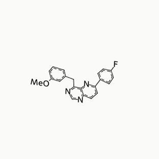 COc1cccc(Cc2ncnc3ccc(-c4ccc(F)cc4)nc23)c1